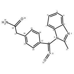 Cc1nc2ccccc2n1C(=S=O)c1ccc(CC(N)=O)cc1